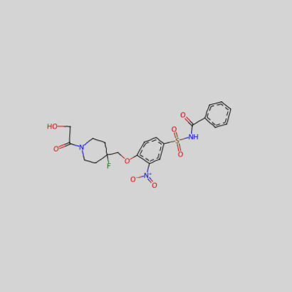 O=C(NS(=O)(=O)c1ccc(OCC2(F)CCN(C(=O)CO)CC2)c([N+](=O)[O-])c1)c1ccccc1